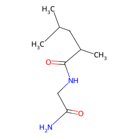 CC(C)CC(C)C(=O)NCC(N)=O